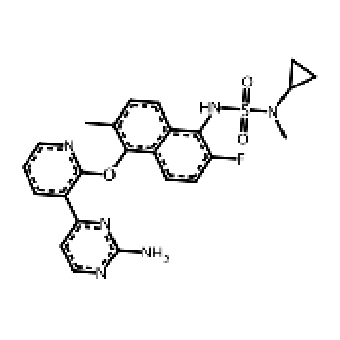 Cc1ccc2c(NS(=O)(=O)N(C)C3CC3)c(F)ccc2c1Oc1ncccc1-c1ccnc(N)n1